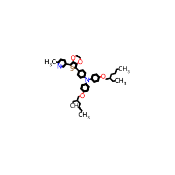 CCCCC(CC)COc1ccc(N(c2ccc(OCC(CC)CCCC)cc2)c2ccc(-c3sc(-c4ccc(C)nc4)c4c3OCCO4)cc2)cc1